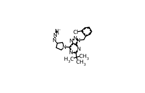 CC(C)(C)c1nc(N2CCC(N=[N+]=[N-])C2)c2nnn(Cc3ccccc3Cl)c2n1